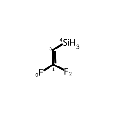 FC(F)=C[SiH3]